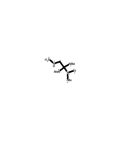 CCCCN(CC)C(CN[SiH3])(NC)NC